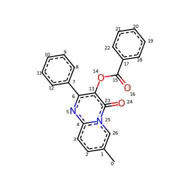 Cc1ccc2nc(-c3ccccc3)c(OC(=O)c3ccccc3)c(=O)n2c1